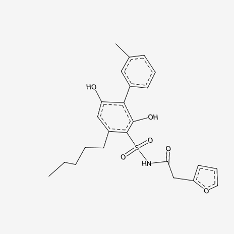 CCCCCc1cc(O)c(-c2cccc(C)c2)c(O)c1S(=O)(=O)NC(=O)Cc1ccco1